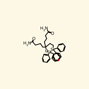 NC(=O)CCCC1(CCCC(N)=O)CC[Si](c2ccccc2)(c2ccccc2)[Si](c2ccccc2)(c2ccccc2)O1